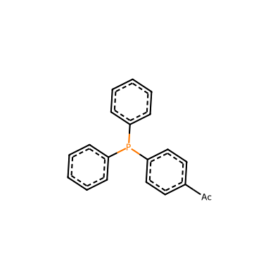 CC(=O)c1ccc(P(c2ccccc2)c2ccccc2)cc1